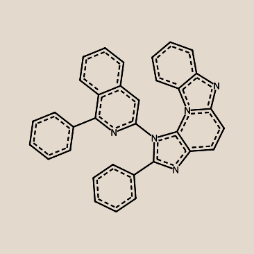 c1ccc(-c2nc(-n3c(-c4ccccc4)nc4ccc5nc6ccccc6n5c43)cc3ccccc23)cc1